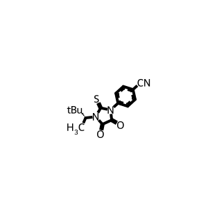 C[C@@H](N1C(=O)C(=O)N(c2ccc(C#N)cc2)C1=S)C(C)(C)C